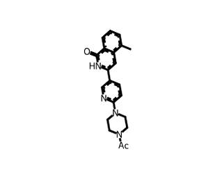 CC(=O)N1CCN(c2ccc(-c3cc4c(C)cccc4c(=O)[nH]3)cn2)CC1